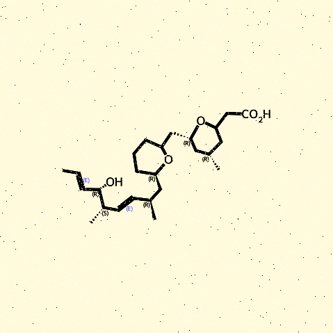 C/C=C/[C@H](O)[C@@H](C)/C=C/[C@H](C)C[C@H]1CCCC(C[C@H]2C[C@@H](C)CC(CC(=O)O)O2)O1